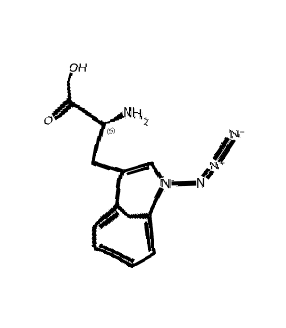 [N-]=[N+]=Nn1cc(C[C@H](N)C(=O)O)c2ccccc21